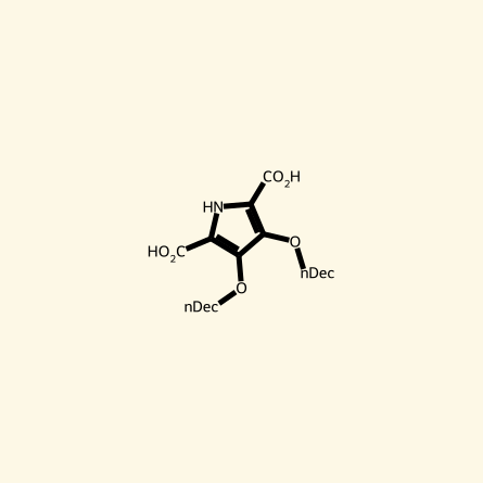 CCCCCCCCCCOc1c(C(=O)O)[nH]c(C(=O)O)c1OCCCCCCCCCC